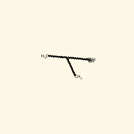 CCCCCCCCCCCCCCCCC=CN(C=CCCCCCCCCCCCCCCCC)CCCCCCCCCCCCCCCCCCOP(O)O